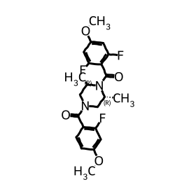 COc1ccc(C(=O)N2C[C@@H](C)N(C(=O)c3c(F)cc(OC)cc3F)[C@H](C)C2)c(F)c1